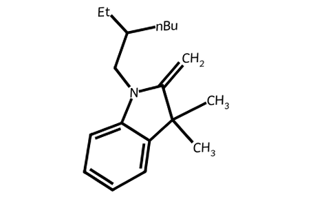 C=C1N(CC(CC)CCCC)c2ccccc2C1(C)C